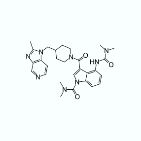 Cc1nc2cnccc2n1CC1CCN(C(=O)c2cn(C(=O)N(C)C)c3cccc(NC(=O)N(C)C)c23)CC1